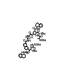 CN[C@@H](C)C(=O)N[C@H](C(=O)N1Cc2cc(C(=O)Nc3ncc(C(=O)N[C@H]4C[C@@H](C(=O)N[C@@H]5CCCc6ccccc65)N(C(=O)[C@@H](NC(=O)[C@H](C)NC)C(C)(C)C)C4)o3)ccc2C[C@H]1C(=O)N[C@@H]1CCCc2ccccc21)C(C)(C)C